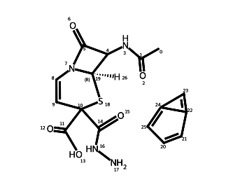 CC(=O)NC1C(=O)N2C=CC(C(=O)O)(C(=O)NN)S[C@H]12.c1cc2cc-2c1